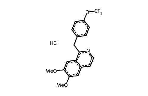 COc1cc2ccnc(Cc3ccc(OC(F)(F)F)cc3)c2cc1OC.Cl